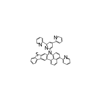 c1ccc(-c2cc(-c3ccccn3)nc(N3c4cc5sc6ccccc6c5cc4-c4cccc5c(-c6ccccn6)ccc3c45)c2)nc1